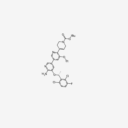 CCOc1cc(-c2cnc(N)c(O[C@H](C)c3c(Cl)ccc(F)c3Cl)c2)cnc1C1=CCN(C(=O)OC(C)(C)C)CC1